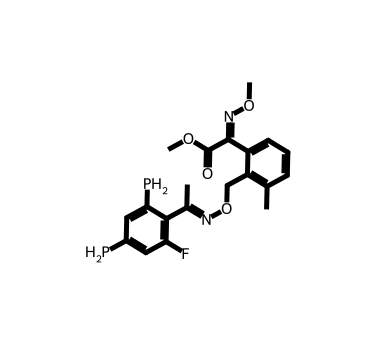 CO/N=C(/C(=O)OC)c1cccc(C)c1CO/N=C(\C)c1c(F)cc(P)cc1P